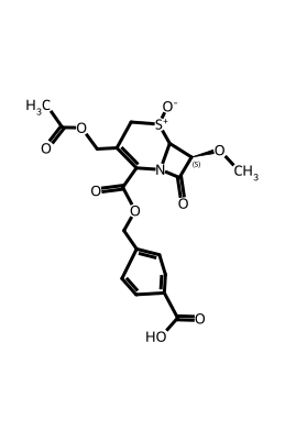 CO[C@H]1C(=O)N2C(C(=O)OCc3ccc(C(=O)O)cc3)=C(COC(C)=O)C[S+]([O-])C12